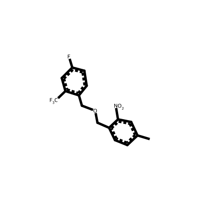 Cc1ccc(COCc2ccc(F)cc2C(F)(F)F)c([N+](=O)[O-])c1